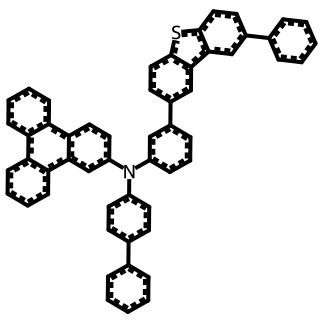 c1ccc(-c2ccc(N(c3cccc(-c4ccc5sc6ccc(-c7ccccc7)cc6c5c4)c3)c3ccc4c5ccccc5c5ccccc5c4c3)cc2)cc1